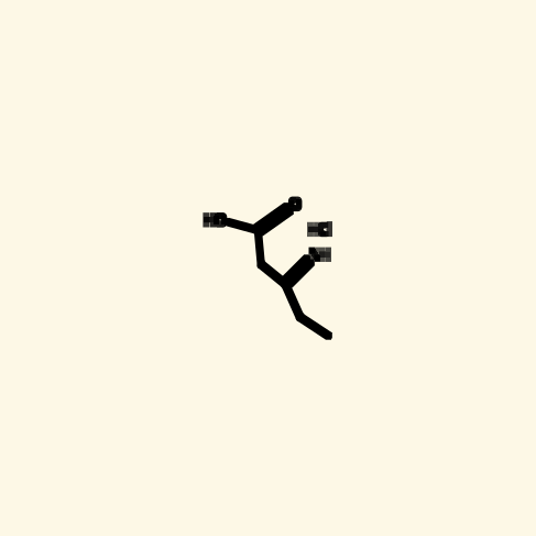 CCC(=N)CC(=O)O.Cl